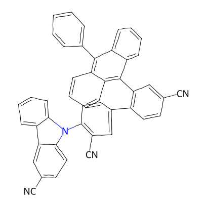 N#Cc1ccc(-c2ccc(-n3c4ccccc4c4cc(C#N)ccc43)c(C#N)c2)c(-c2c3ccccc3c(-c3ccccc3)c3ccccc23)c1